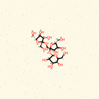 OCC1O[C@H](O[C@]2(CO[C@]3(CO)O[C@H](CO)C(O)[C@H]3O)O[C@H](CO)C(O)[C@H]2O)C(O)[C@H](O)[C@@H]1O